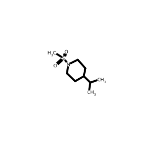 CC(C)C1CCN(S(C)(=O)=O)CC1